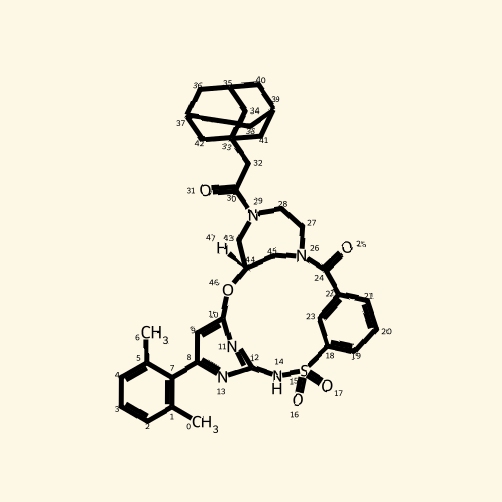 Cc1cccc(C)c1-c1cc2nc(n1)NS(=O)(=O)c1cccc(c1)C(=O)N1CCN(C(=O)CC34CC5CC(CC(C5)C3)C4)C[C@H](C1)O2